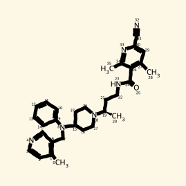 Cc1ccncc1CN(c1ccccc1)C1CCN([C@H](C)CCNC(=O)c2c(C)cc(C#N)nc2C)CC1